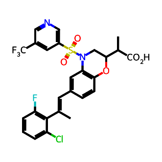 C/C(=C\c1ccc2c(c1)N(S(=O)(=O)c1cncc(C(F)(F)F)c1)CC(C(C)C(=O)O)O2)c1c(F)cccc1Cl